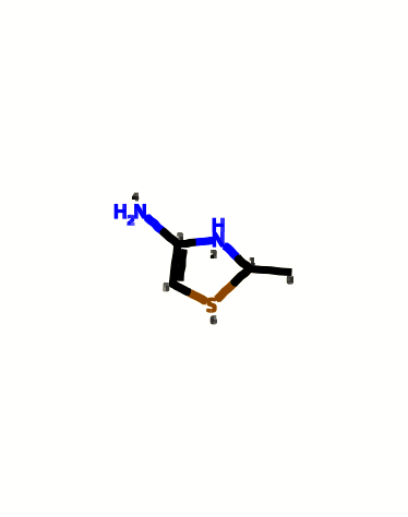 CC1NC(N)=CS1